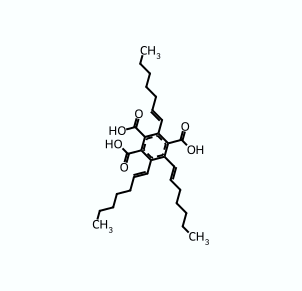 CCCCC/C=C/c1c(/C=C/CCCCC)c(C(=O)O)c(C(=O)O)c(/C=C/CCCCC)c1C(=O)O